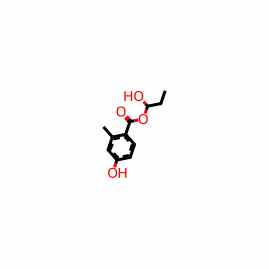 CCC(O)OC(=O)c1ccc(O)cc1C